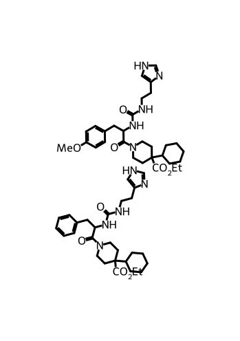 CCOC(=O)C1(C2CCCCC2)CCN(C(=O)C(Cc2ccc(OC)cc2)NC(=O)NCCc2c[nH]cn2)CC1.CCOC(=O)C1(C2CCCCC2)CCN(C(=O)C(Cc2ccccc2)NC(=O)NCCc2c[nH]cn2)CC1